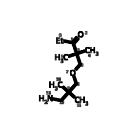 CCC(=O)C(C)(C)COCC(C)(C)CN